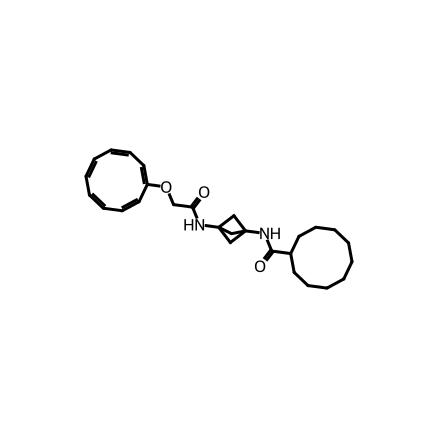 O=C(COc1ccccccccc1)NC12CC(NC(=O)C3CCCCCCCCC3)(C1)C2